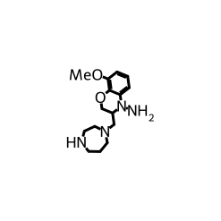 COc1cccc2c1OCC(CN1CCCNCC1)N2N